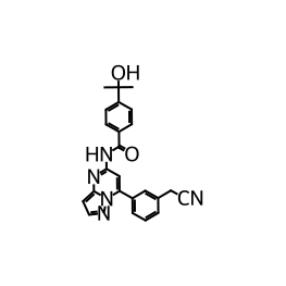 CC(C)(O)c1ccc(C(=O)Nc2cc(-c3cccc(CC#N)c3)n3nccc3n2)cc1